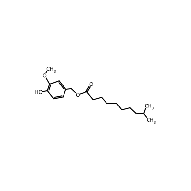 COc1cc(COC(=O)CCCCCCCC(C)C)ccc1O